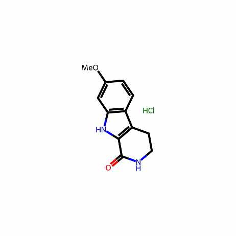 COc1ccc2c3c([nH]c2c1)C(=O)NCC3.Cl